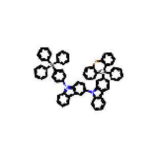 c1ccc([Si](c2ccccc2)(c2ccccc2)c2ccc(-n3c4ccccc4c4cc(-n5c6ccccc6c6ccc([Si]7(c8ccccc8)c8ccccc8Sc8ccccc87)cc65)ccc43)cc2)cc1